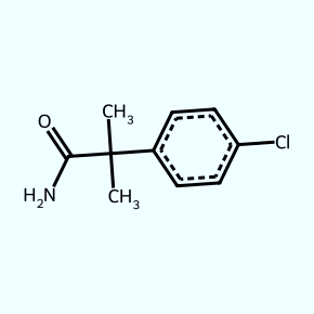 CC(C)(C(N)=O)c1ccc(Cl)cc1